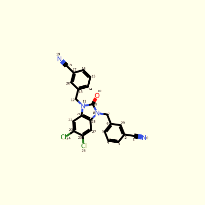 N#Cc1cccc(Cn2c(=O)n(Cc3cccc(C#N)c3)c3cc(Cl)c(Cl)cc32)c1